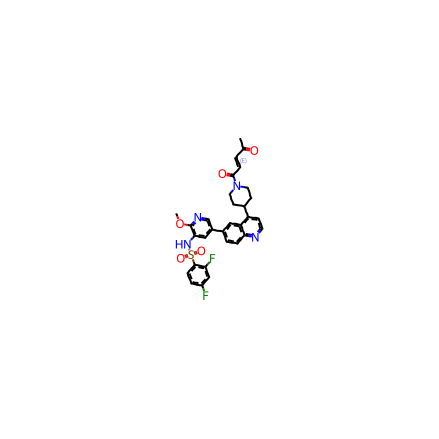 COc1ncc(-c2ccc3nccc(C4CCN(C(=O)/C=C/C(C)=O)CC4)c3c2)cc1NS(=O)(=O)c1ccc(F)cc1F